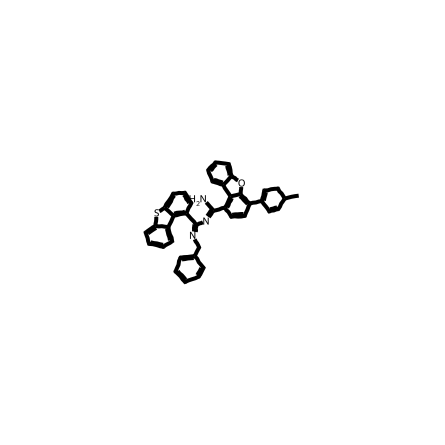 CC1C=CC(c2ccc(/C(N)=N/C(=N\Cc3ccccc3)c3cccc4sc5ccccc5c34)c3c2oc2ccccc23)=CC1